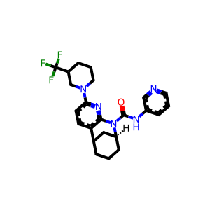 O=C(Nc1cccnc1)N1c2nc(N3CCCC(C(F)(F)F)C3)ccc2C2CCC[C@H]1C2